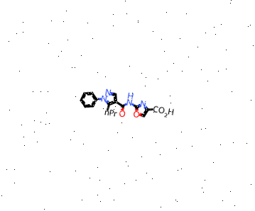 CCCc1c(C(=O)Nc2nc(C(=O)O)co2)cnn1-c1ccccc1